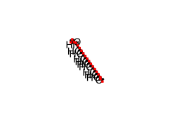 CC(C)C(=O)CC(O)CC(O)CC(O)/C=C/CC(O)CC(O)CC(O)CC(O)/C=C/CC(O)CC(O)CCCNC(=O)c1ccccc1